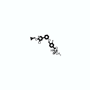 CS(=O)(=O)NC(=O)c1ccc(COc2cccc(-c3cnc(OCC4CC4)c(Cl)c3)c2)c(F)c1